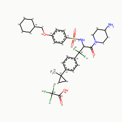 NC1CCN(C(=O)C(NS(=O)(=O)c2ccc(OCC3CCCCC3)cc2)C(F)(F)c2ccc(C3(C(F)(F)F)CC3)cc2)CC1.O=C(O)C(F)(F)F